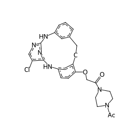 CC(=O)N1CCN(C(=O)COc2ccc3cc2CCc2cccc(c2)Nc2ncc(Cl)c(n2)N3)CC1